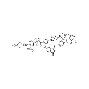 COc1cc(CN2CCN(C3CC4(C3)CN(c3ccc(C(=O)NS(=O)(=O)c5ccc(NC[C@H]6CC[C@](C)(O)CC6)c([N+](=O)[O-])c5)c(Oc5cnc6[nH]cc(F)c6c5)c3)C4)[C@H](c3ccccc3C(C)C)C2)ccc1Cl